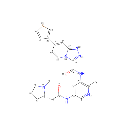 Cc1ncc(NC(=O)C[C@@H]2CCCN2C)cc1NC(=O)c1nnc2cc(-c3ccsc3)ccn12